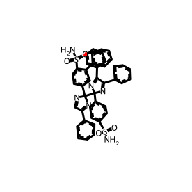 NS(=O)(=O)c1ccc(C2(C3(c4ccc(S(N)(=O)=O)c(-c5ccccc5)c4)N=CC(c4ccccc4)=N3)N=C(c3ccccc3)C(c3ccccc3)=N2)cc1